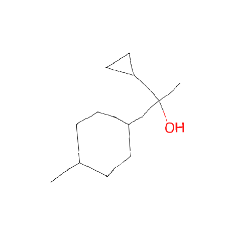 CC1CCC(C(C)(O)C2CC2)CC1